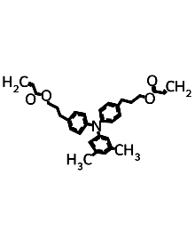 C=CC(=O)OCCCc1ccc(N(c2ccc(CCCOC(=O)C=C)cc2)c2cc(C)cc(C)c2)cc1